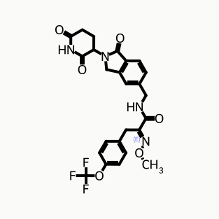 CO/N=C(\Cc1ccc(OC(F)(F)F)cc1)C(=O)NCc1ccc2c(c1)CN(C1CCC(=O)NC1=O)C2=O